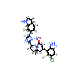 Nc1ccc(Cl)c(F)c1C1=CC(=O)N2[C@H](CC[C@H]2c2ncc(-c3ccc4cc[nH]c4c3F)[nH]2)C1